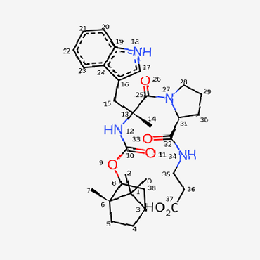 CC1(C)C2CC[C@]1(C)C(OC(=O)N[C@](C)(Cc1c[nH]c3ccccc13)C(=O)N1CCC[C@H]1C(=O)NCCC(=O)O)C2